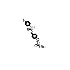 CC(C)(C)C(=O)OCOc1ccc(CSC(=S)Nc2ccc(F)cc2)cc1